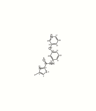 Cc1csc(C(=O)Nc2cccc(Oc3cccnc3)c2)n1